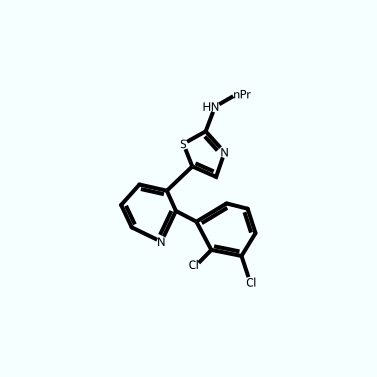 CCCNc1ncc(-c2cccnc2-c2cccc(Cl)c2Cl)s1